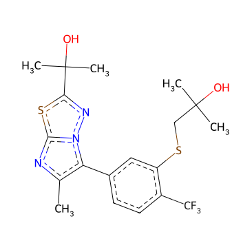 Cc1nc2sc(C(C)(C)O)nn2c1-c1ccc(C(F)(F)F)c(SCC(C)(C)O)c1